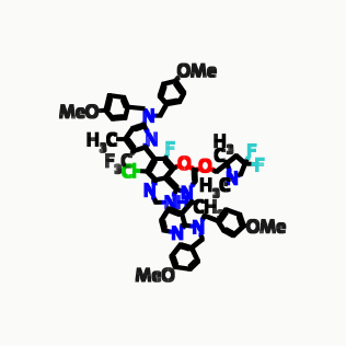 COc1ccc(CN(Cc2ccc(OC)cc2)c2cc(C)c(C(F)(F)F)c(-c3c(F)c4c5c(c3Cl)=NCNC=5N(C(C)c3cccnc3N(Cc3ccc(OC)cc3)Cc3ccc(OC)cc3)C=C(OCC3(C)CC(F)(F)CN3C)O4)n2)cc1